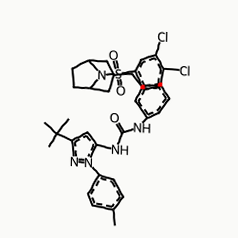 Cc1ccc(-n2nc(C(C)(C)C)cc2NC(=O)Nc2cccc(CC3CC4CCC(C3)N4S(=O)(=O)c3ccc(Cl)c(Cl)c3)c2)cc1